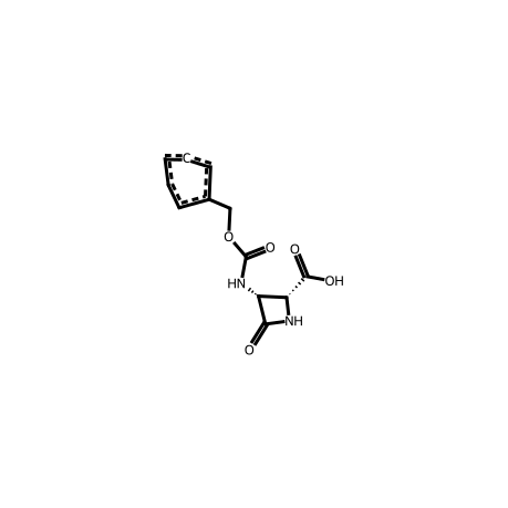 O=C(N[C@H]1C(=O)N[C@H]1C(=O)O)OCc1ccccc1